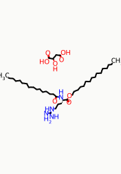 CCCCCCCCCCCCCCCCOC(=O)[C@H](CCCNC(=N)N)NC(=O)CCCCCCCCCCCCCCC.O=C(O)CC(O)C(=O)O